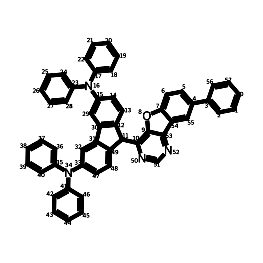 c1ccc(-c2ccc3oc4c(C5c6ccc(N(c7ccccc7)c7ccccc7)cc6-c6cc(N(c7ccccc7)c7ccccc7)ccc65)ncnc4c3c2)cc1